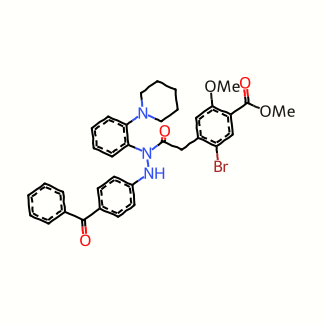 COC(=O)c1cc(Br)c(CC(=O)N(Nc2ccc(C(=O)c3ccccc3)cc2)c2ccccc2N2CCCCC2)cc1OC